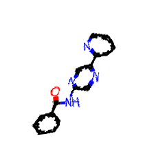 O=C(Nc1cnc(-c2ccccn2)cn1)c1ccccc1